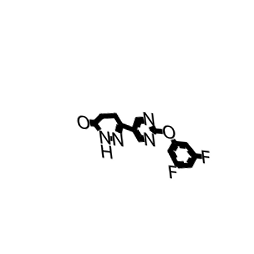 O=C1CCC(c2cnc(Oc3cc(F)cc(F)c3)nc2)=NN1